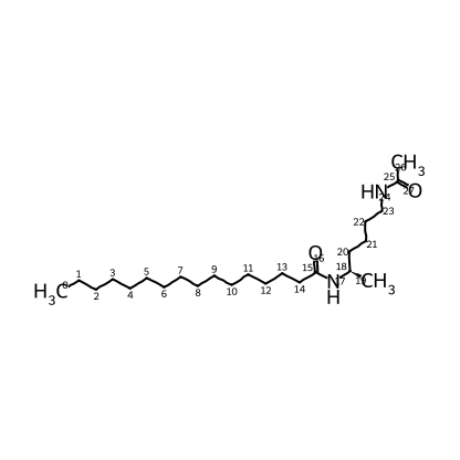 CCCCCCCCCCCCCCCC(=O)N[C@H](C)CCCCNC(C)=O